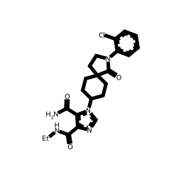 CCNC(=O)c1ncn(C2CCC3(CC2)CCN(c2ccccc2Cl)C3=O)c1C(N)=O